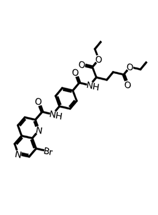 CCOC(=O)CCC(NC(=O)c1ccc(NC(=O)c2ccc3cncc(Br)c3n2)cc1)C(=O)OCC